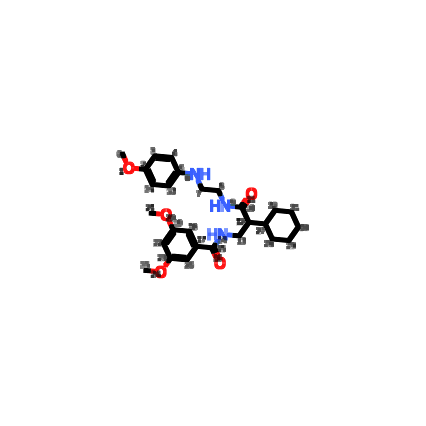 COc1ccc(NCCNC(=O)C(CNC(=O)c2cc(OC)cc(OC)c2)C2CCCCC2)cc1